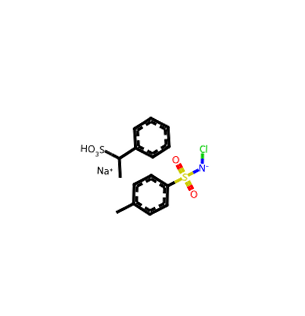 CC(c1ccccc1)S(=O)(=O)O.Cc1ccc(S(=O)(=O)[N-]Cl)cc1.[Na+]